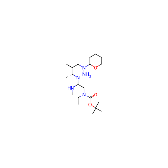 CCN(C/C(=N/[C@H](C)C(C)CN(N)C1CCCCO1)NC)C(=O)OC(C)(C)C